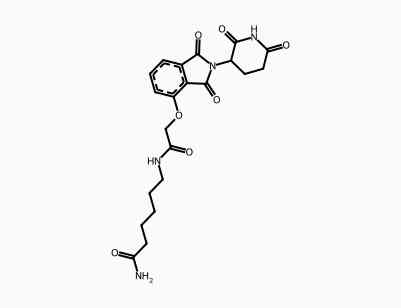 NC(=O)CCCCCNC(=O)COc1cccc2c1C(=O)N(C1CCC(=O)NC1=O)C2=O